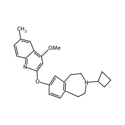 COc1cc(Oc2ccc3c(c2)CCN(C2CCC2)CC3)nc2ccc(C)cc12